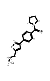 N=C(c1ccc(-c2cc(CNC=O)on2)cc1)N1CCCC1